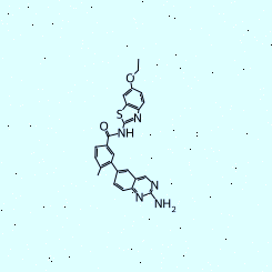 CCOc1ccc2nc(NC(=O)c3ccc(C)c(-c4ccc5nc(N)ncc5c4)c3)sc2c1